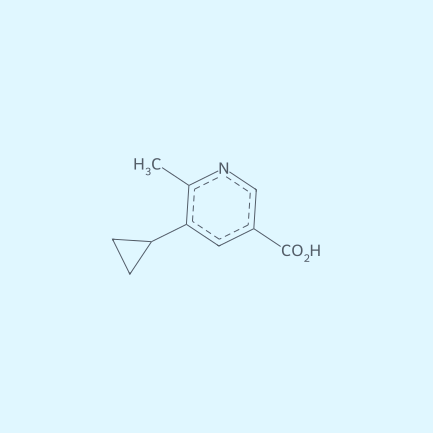 Cc1ncc(C(=O)O)cc1C1CC1